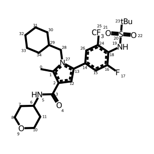 Cc1c(C(=O)NC2CCOCC2)cc(-c2cc(F)c(NS(=O)(=O)C(C)(C)C)c(C(F)(F)F)c2)n1CC1CCCCC1